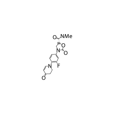 CNC(=O)[C@H]1CN(c2ccc(N3C=CC(=O)CC3)c(F)c2)C(=O)O1